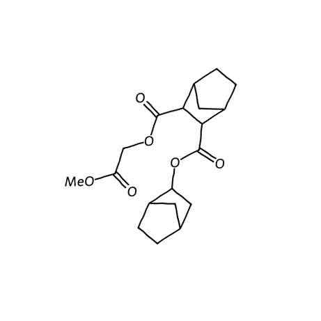 COC(=O)COC(=O)C1C2CCC(C2)C1C(=O)OC1CC2CCC1C2